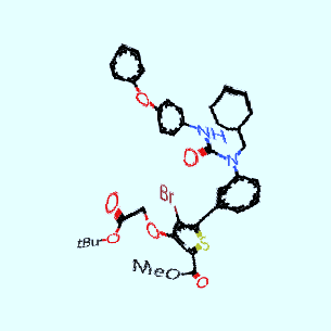 COC(=O)c1sc(-c2cccc(N(CC3CCCCC3)C(=O)Nc3ccc(Oc4ccccc4)cc3)c2)c(Br)c1OCC(=O)OC(C)(C)C